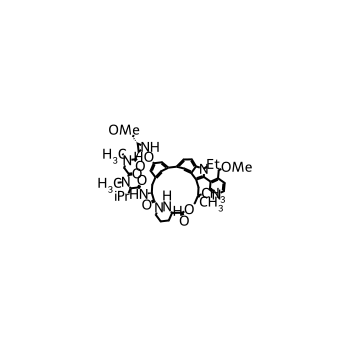 CCn1c(-c2cnccc2COC)c2c3cc(ccc31)-c1cc(O)cc(c1)C[C@H](NC(=O)C(C(C)C)N(C)C(=O)CN(C)C(=O)[C@@H]1N[C@H]1COC)C(=O)N1CCC[C@H](N1)C(=O)OCC(C)(C)C2